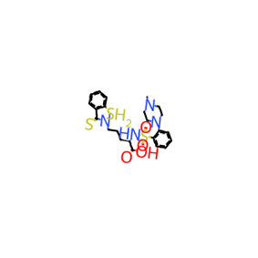 CN1CCN(c2ccccc2S(=O)(=O)N[C@H](CCCN2[SH2]c3ccccc3C2=S)C(=O)O)CC1